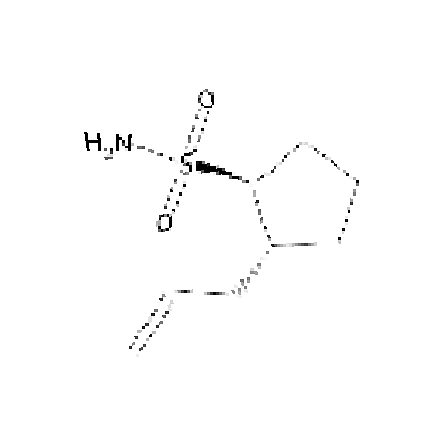 C=CC[C@H]1CCC[C@@H]1S(N)(=O)=O